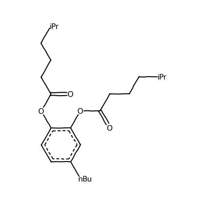 CCCCc1ccc(OC(=O)CCCC(C)C)c(OC(=O)CCCC(C)C)c1